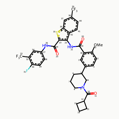 COc1ccc(C2CCCN(C(=O)C3CCC3)C2)cc1C(=O)Nc1c(C(=O)Nc2ccc(F)c(C(F)(F)F)c2)sc2cc(C(F)(F)F)ccc12